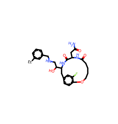 CCc1cccc(CNCC(O)C2Cc3ccc(c(F)c3)OCCCCC(=O)NC(CC(N)=O)C(=O)N2)c1